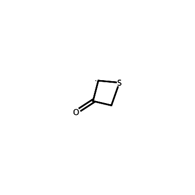 O=C1[CH]SC1